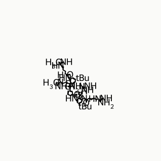 CC(=N)NCCCCC(=O)Nc1cc(C(C)(C)C)cc(NC(=O)c2cccc(C(=O)Nc3cc(C(C)(C)C)cc(NC(=O)CCCCNC(=N)N)c3SCCNC(=N)N)c2)c1SCCNC(C)=N